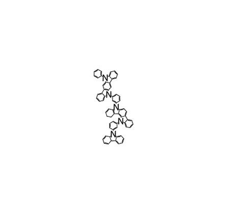 C1=CC2c3ccccc3N(c3cccc(-n4c5ccccc5c5ccc6c(c7c(n6-c6cccc(-n8c9ccccc9c9cc%10c(cc98)c8ccccc8n%10-c8ccccc8)c6)C=CCC7)c54)c3)C2C=C1